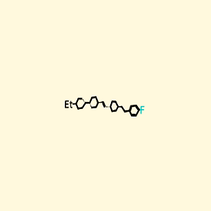 CC[C@H]1CC[C@H]([C@H]2CC[C@H](C=C[C@H]3CC[C@H](CCc4ccc(F)cc4)CC3)CC2)CC1